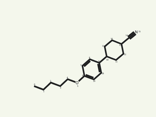 CCCCCOc1ccc(C2CCC(C#N)CC2)cc1